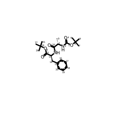 C[C@H](NC(=O)OC(C)(C)C)C(=O)N[C@@H](Cc1ccccc1)C(=O)OC(C)(C)C